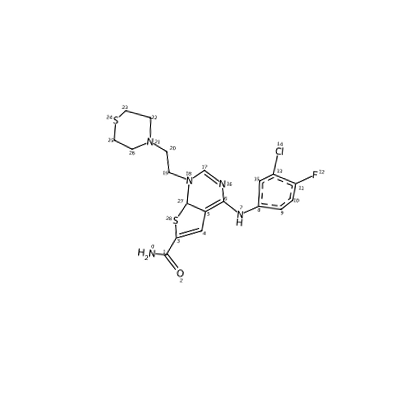 NC(=O)C1=CC2=C(Nc3ccc(F)c(Cl)c3)N=CN(CCN3CCSCC3)C2S1